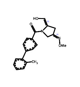 CO/N=C1/C/C(=C/O)N(C(=O)c2ccc(-c3ccccc3C)cc2)C1